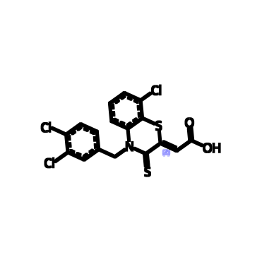 O=C(O)/C=C1\Sc2c(Cl)cccc2N(Cc2ccc(Cl)c(Cl)c2)C1=S